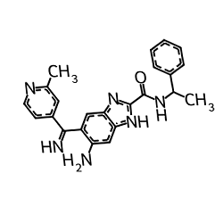 Cc1cc(C(=N)c2cc3nc(C(=O)NC(C)c4ccccc4)[nH]c3cc2N)ccn1